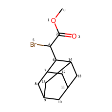 COC(=O)C(Br)C1C2CC3CC(C2)CC1C3